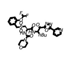 CCCCC(NC(=O)[C@H](CS(=O)(=O)Cc1ccccc1OC(F)F)NC(=O)N1CCOCC1)C(=O)c1nnc(-c2cccnc2)o1